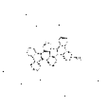 Cc1ccc2c(c1)-c1ccccc1N1B2c2cccc3c2-c2c(cccc21)B1c2ccccc2-c2ccccc2N13